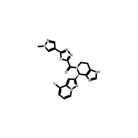 Cn1cc(-c2nnc(C(=O)N3CCc4[nH]cnc4[C@H]3c3cc4c(F)cccn4n3)o2)cn1